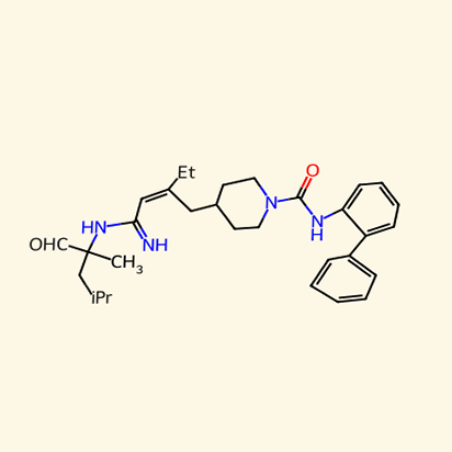 CC/C(=C/C(=N)NC(C)(C=O)CC(C)C)CC1CCN(C(=O)Nc2ccccc2-c2ccccc2)CC1